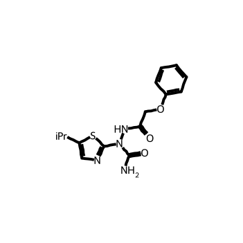 CC(C)c1cnc(N(NC(=O)COc2ccccc2)C(N)=O)s1